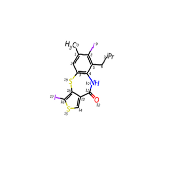 Cc1cc2c(c(CC(C)C)c1I)NC(=O)c1csc(I)c1S2